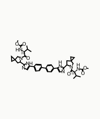 COC(=O)N[C@H](C(=O)N1CC2(CC2)CC1c1ncc(-c2ccc(-c3ccc(-c4cnc(C5CC6(CC6)CN5C(=O)[C@@H](NC(=O)OC)C(C)C)[nH]4)cc3)cc2)[nH]1)C(C)C